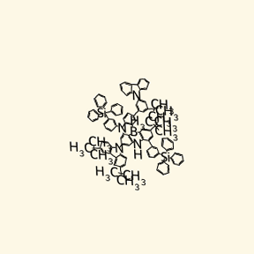 CC(C)(C)c1cc(-c2ccc3c(c2)B2c4cc(C(C)(C)C)cc(-c5cccc([Si](c6ccccc6)(c6ccccc6)c6ccccc6)c5)c4Nc4cc(-n5c6ccc(C(C)(C)C)cc6c6cc(C(C)(C)C)ccc65)cc(c42)N3c2cccc([Si](c3ccccc3)(c3ccccc3)c3ccccc3)c2)cc(-n2c3ccccc3c3ccccc32)c1